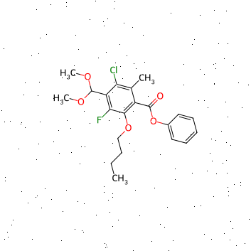 CCCCOc1c(F)c(C(OC)OC)c(Cl)c(C)c1C(=O)Oc1ccccc1